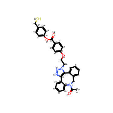 CCC(=O)N1Cc2ccccc2-c2c(nnn2CCOc2ccc(C(=O)Oc3ccc(CS)cc3)cc2)-c2ccccc21